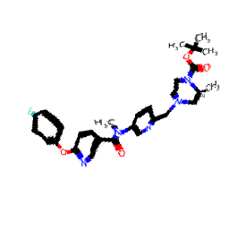 C[C@H]1CN(Cc2ccc(N(C)C(=O)c3ccc(Oc4ccc(F)cc4)nc3)cn2)CCN1C(=O)OC(C)(C)C